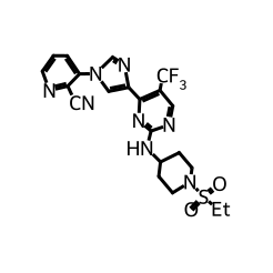 CCS(=O)(=O)N1CCC(Nc2ncc(C(F)(F)F)c(-c3cn(-c4cccnc4C#N)cn3)n2)CC1